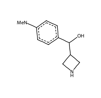 CNc1ccc(C(O)C2CNC2)cc1